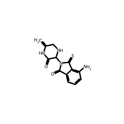 C=C1CNC(N2C(=O)c3cccc(N)c3C2=S)C(=O)N1